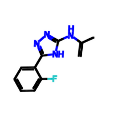 C=C(C)Nc1nnc(-c2ccccc2F)[nH]1